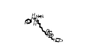 CS(=O)(=O)N(CCCCCCCCN/C(=N\C#N)Nc1ccncc1)CCCN1CCOCC1